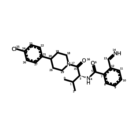 CC(C)[C@@H](NC(=O)c1ccccc1C=N)C(=O)N1CCC(c2ccc(Cl)cc2)CC1